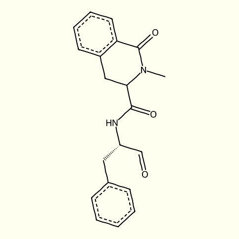 CN1C(=O)c2ccccc2CC1C(=O)N[C@H](C=O)Cc1ccccc1